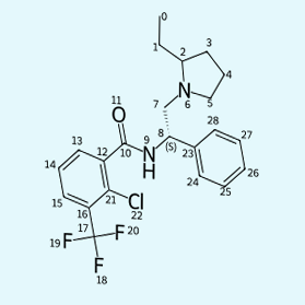 CCC1CCCN1C[C@@H](NC(=O)c1cccc(C(F)(F)F)c1Cl)c1ccccc1